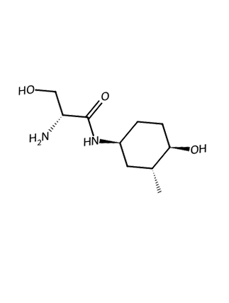 C[C@@H]1C[C@@H](NC(=O)[C@H](N)CO)CC[C@H]1O